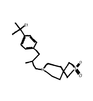 CCC(C)(C)c1ccc(CC(C)CN2CCC3(CC2)CS(=O)(=O)C3)cc1